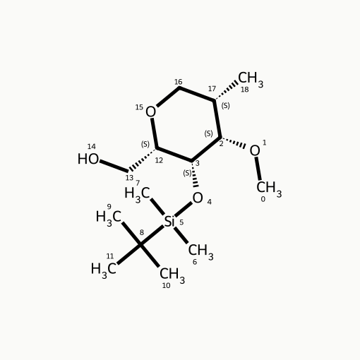 CO[C@@H]1[C@H](O[Si](C)(C)C(C)(C)C)[C@H](CO)OC[C@@H]1C